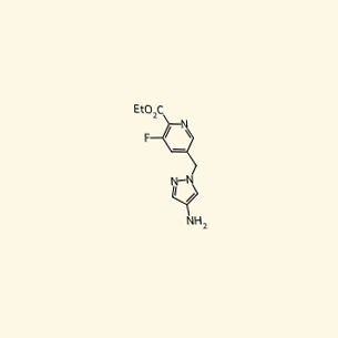 CCOC(=O)c1ncc(Cn2cc(N)cn2)cc1F